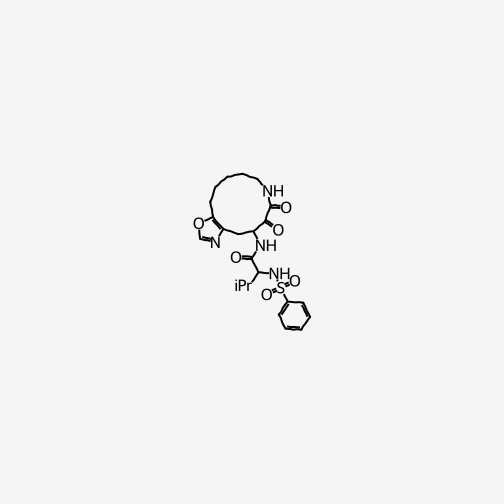 CC(C)C(NS(=O)(=O)c1ccccc1)C(=O)NC1Cc2ncoc2CCCCCNC(=O)C1=O